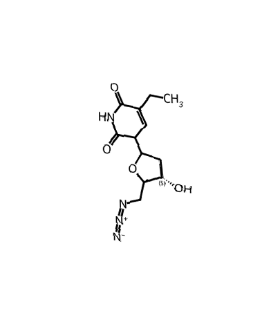 CCC1=CC(C2C[C@H](O)C(CN=[N+]=[N-])O2)C(=O)NC1=O